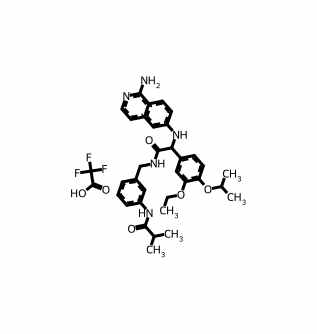 CCOc1cc(C(Nc2ccc3c(N)nccc3c2)C(=O)NCc2cccc(NC(=O)C(C)C)c2)ccc1OC(C)C.O=C(O)C(F)(F)F